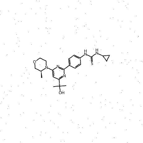 C[C@H]1COCCN1c1cc(C(C)(C)O)nc(-c2ccc(NC(=S)NC3CC3)cc2)n1